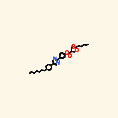 CCCCCCCC1CCC(c2cnc(-c3ccc(OC(=O)C4COC(CCCCC)OC4)cc3)nc2)CC1